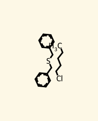 CCCCCCl.c1ccc(CSCc2ccccc2)cc1